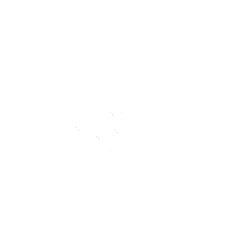 O=C(COC(=O)C(F)(F)F)Nc1nc(C(F)(F)F)n2c1CNCC2